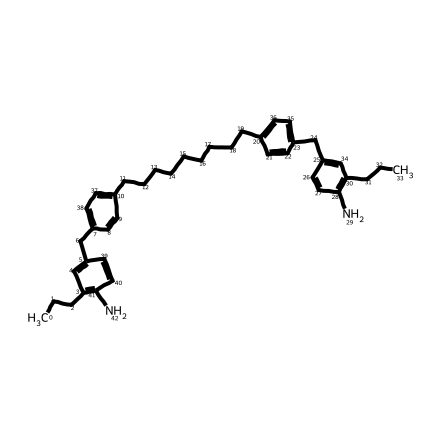 CCCc1cc(Cc2ccc(CCCCCCCCCc3ccc(Cc4ccc(N)c(CCC)c4)cc3)cc2)ccc1N